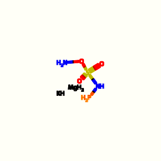 NOS(=O)(=O)NP.[KH].[MgH2]